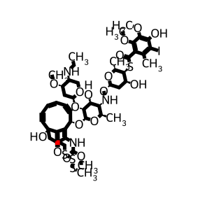 CCN[C@H]1CO[C@@H](O[C@H]2[C@H](O[C@H]3C#C/C=C\C#C[C@]4(O)CC(=O)C(NC(=O)OC)=C3/C4=C\CSSSC)O[C@H](C)[C@@H](NO[C@H]3C[C@H](O)[C@H](SC(=O)c4c(C)c(I)c(O)c(OC)c4OC)[C@@H](C)O3)[C@@H]2O)C[C@@H]1OC